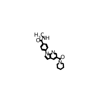 CNC(=O)c1ccc(-n2ccc3cc(C(=O)N4CCCCC4)cnc32)cc1